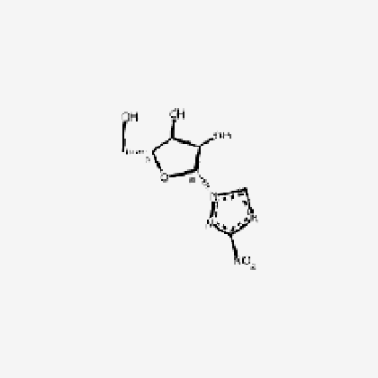 O=[N+]([O-])c1ncn([C@@H]2O[C@H](CO)C(O)C2O)n1